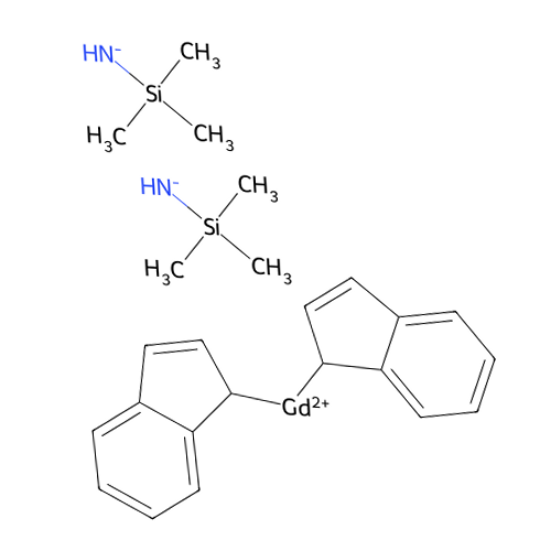 C1=C[CH]([Gd+2][CH]2C=Cc3ccccc32)c2ccccc21.C[Si](C)(C)[NH-].C[Si](C)(C)[NH-]